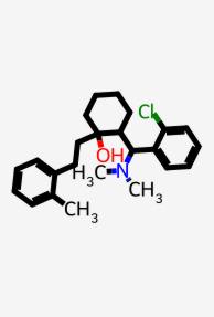 Cc1ccccc1CCC1(O)CCCCC1C(c1ccccc1Cl)N(C)C